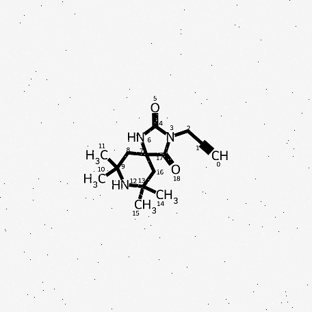 C#CCN1C(=O)NC2(CC(C)(C)NC(C)(C)C2)C1=O